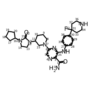 NC(=O)c1ncc(N2CCCC(N3CCN(C4CCCC4)C3=O)C2)nc1Nc1ccc(C2(F)CCNCC2)cc1